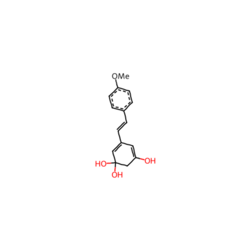 COc1ccc(C=CC2=CC(O)(O)CC(O)=C2)cc1